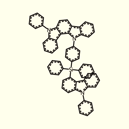 c1ccc(-n2c3ccccc3c3c([Si](c4ccccc4)(c4ccccc4)c4ccc(-n5c6ccccc6c6ccc7c(c8ccccc8n7-c7ccccc7)c65)cc4)cccc32)cc1